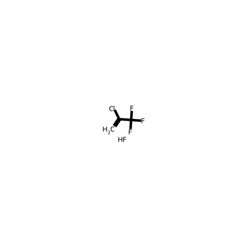 C=C(Cl)C(F)(F)F.F